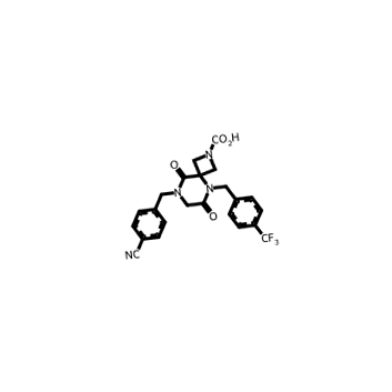 N#Cc1ccc(CN2CC(=O)N(Cc3ccc(C(F)(F)F)cc3)C3(CN(C(=O)O)C3)C2=O)cc1